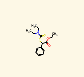 CCOC(=O)C(SC(=S)N(CC)CC)c1ccccc1